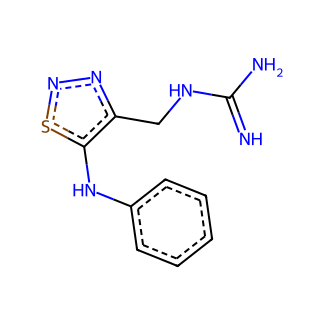 N=C(N)NCc1nnsc1Nc1ccccc1